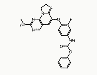 CNc1ncc2c(n1)N1CCN=C1C(Oc1ccc(NC(=O)Oc3ccccc3)cc1F)=C2